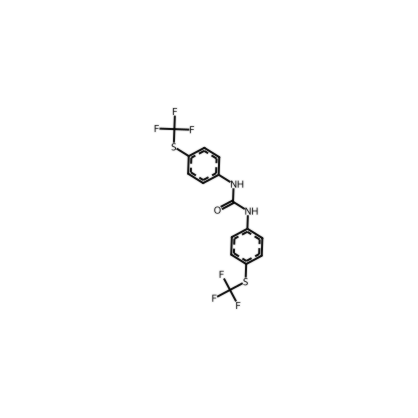 O=C(Nc1ccc(SC(F)(F)F)cc1)Nc1ccc(SC(F)(F)F)cc1